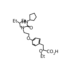 CCOC(Cc1ccc(OCCN(CC(CC)CC)C(=O)NC2CCCC2)cc1)C(=O)O